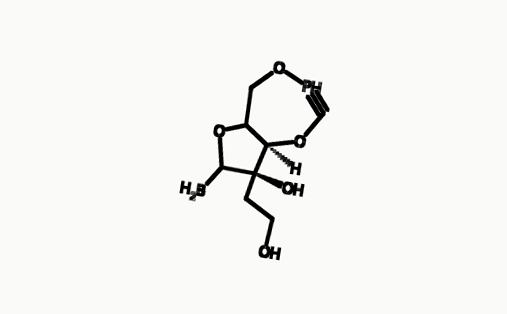 BC1OC2CO[PH]#CO[C@H]2[C@]1(O)CCO